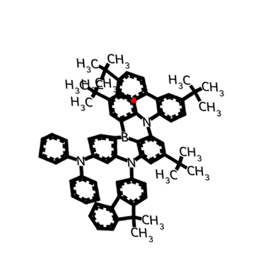 CC(C)(C)c1ccc(-c2cc(C(C)(C)C)ccc2N2c3ccc(C(C)(C)C)cc3B3c4ccc(N(c5ccccc5)c5ccccc5)cc4N(c4ccc5c(c4)-c4ccccc4C5(C)C)c4cc(C(C)(C)C)cc2c43)cc1